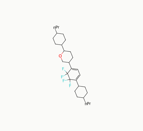 CCCC1CCC(C2=CC=C(C3CCC(C4CCC(CCC)CC4)OC3)C(F)(F)C2(F)F)CC1